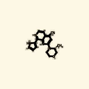 C[C@@H]1COCCN1c1cc(C#N)c2ccnc(-c3ccn[nH]3)c2n1